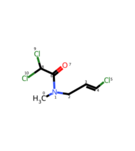 CN(C/C=C/Cl)C(=O)C(Cl)Cl